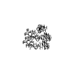 N[C@H](CC(=O)N1CCn2c(nnc2C(F)(F)F)C1)Cc1cc(F)c(F)cc1F.N[C@H](CC(=O)N1CCn2c(nnc2C(F)(F)F)C1)Cc1cc(F)c(F)cc1F.O.O=P(O)(O)O